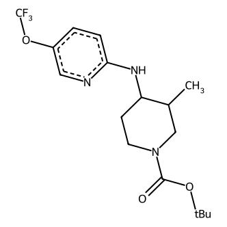 CC1CN(C(=O)OC(C)(C)C)CCC1Nc1ccc(OC(F)(F)F)cn1